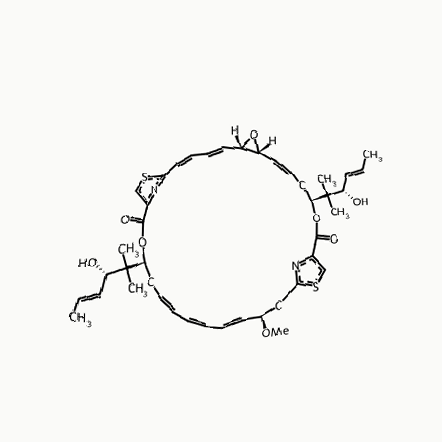 C/C=C/[C@H](O)C(C)(C)[C@@H]1C\C=C/C=C\C=C\[C@H](OC)Cc2nc(cs2)C(=O)O[C@H](C(C)(C)[C@@H](O)/C=C/C)C/C=C\[C@H]2O[C@H]2/C=C/C=C\c2nc(cs2)C(=O)O1